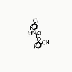 N#Cc1ccncc1OCC(=O)Nc1ccc(Cl)cn1